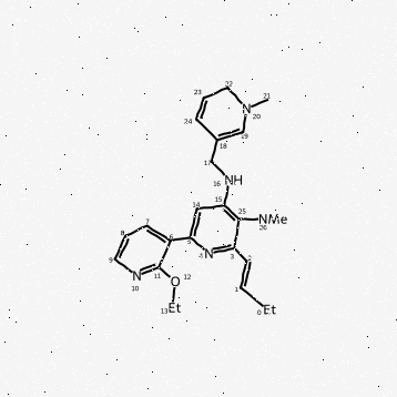 CC/C=C/c1nc(-c2cccnc2OCC)cc(NCC2=CN(C)CC=C2)c1NC